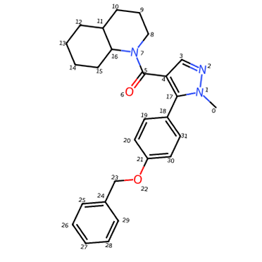 Cn1ncc(C(=O)N2CCCC3CCCCC32)c1-c1ccc(OCc2ccccc2)cc1